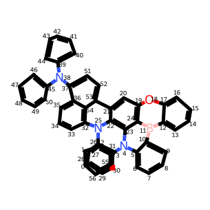 c1ccc(N2c3ccccc3B3c4ccccc4Oc4cc5c(c2c43)N(c2ccccc2)c2cccc3c(N(c4ccccc4)c4ccccc4)ccc-5c23)cc1